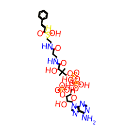 CC(C)(COP(=O)(O)OP(=O)(O)OC[C@H]1O[C@@H](n2cnc3c(N)ncnc32)[C@H](O)[C@@H]1OP(=O)(O)O)C(O)C(=O)NCCC(=O)NCC[SH](O)C(=O)/C=C/c1ccccc1